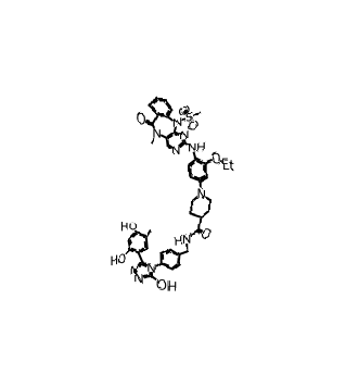 CCOc1cc(N2CCC(C(=O)NCc3ccc(-n4c(O)nnc4-c4cc(C)c(O)cc4O)cc3)CC2)ccc1Nc1ncc2c(n1)N(S(C)(=O)=O)c1ccccc1C(=O)N2C